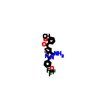 COc1ccccc1C(=O)c1cc2c(N)nc(-c3cccc(OC(F)(F)F)c3)nc2s1